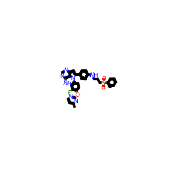 Cc1ccnc(Oc2ccc(-n3c(-c4ccc(NCCCS(=O)(=O)c5ccccc5)cc4)cc4ncnc(N)c43)cc2F)n1